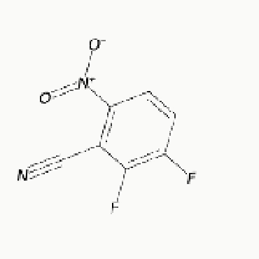 N#Cc1c([N+](=O)[O-])ccc(F)c1F